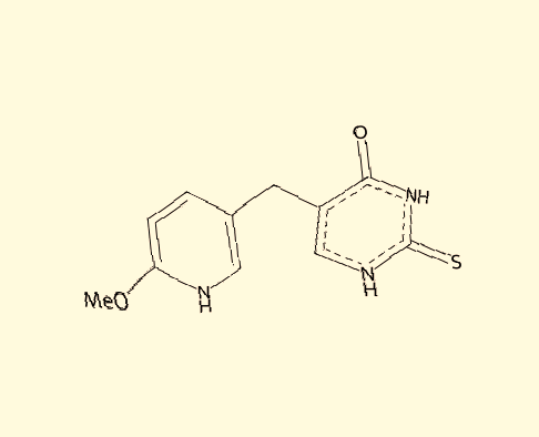 COC1=C=CC(Cc2c[nH]c(=S)[nH]c2=O)=CN1